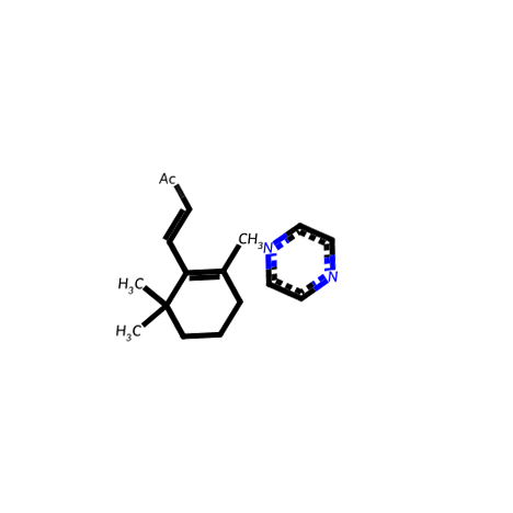 CC(=O)C=CC1=C(C)CCCC1(C)C.c1cnccn1